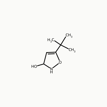 CC(C)(C)C1=CC(O)NO1